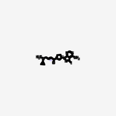 CN(C/C=C/C(=O)N1CC[C@@H](n2nc(I)c3c(N)ncnc32)C1)C1CC1